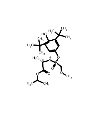 COCP(=O)(N[C@@H](C)C(=O)OC(C)C)Oc1cc(C(C)(C)C)c(O)c(C(C)(C)C)c1